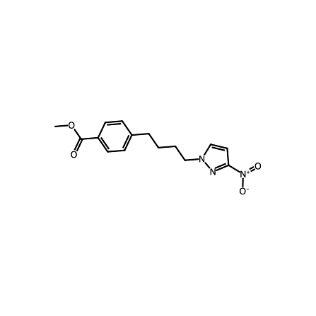 COC(=O)c1ccc(CCCCn2ccc([N+](=O)[O-])n2)cc1